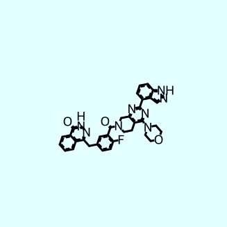 O=C(c1cc(Cc2n[nH]c(=O)c3ccccc23)ccc1F)N1CCc2c(nc(-c3cccc4[nH]ncc34)nc2N2CCOCC2)C1